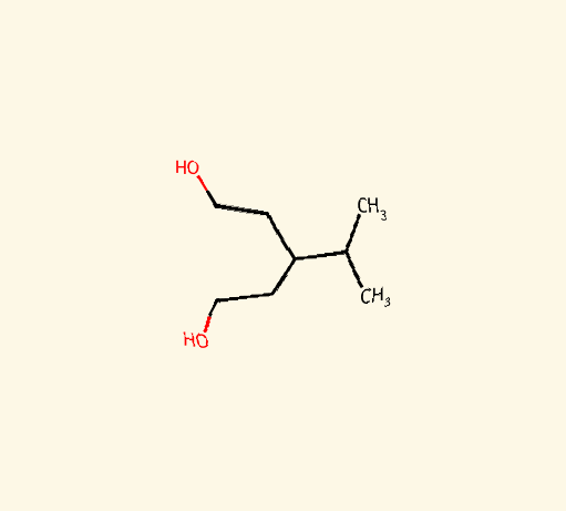 CC(C)C(CCO)CCO